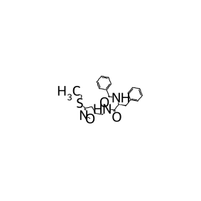 CCSC1=NOC(CNC(=O)[C@H](Cc2ccccc2)NC(=O)c2ccccc2)C1